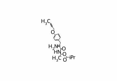 CC#CCOc1ccc(C[C@H](N)C(=O)NC(C)OC(=O)C(C)C)cc1